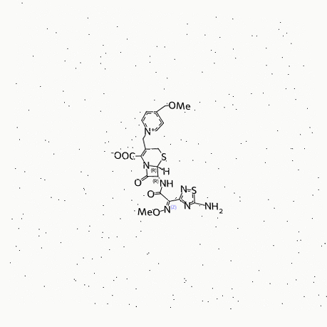 COCc1cc[n+](CC2=C(C(=O)[O-])N3C(=O)[C@@H](NC(=O)/C(=N\OC)c4nsc(N)n4)[C@H]3SC2)cc1